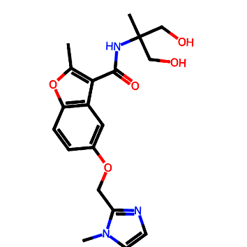 Cc1oc2ccc(OCc3nccn3C)cc2c1C(=O)NC(C)(CO)CO